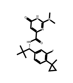 CN(C)c1nc(C(=O)N[C@H](c2ccc(C3(C)CC3)c(F)c2)C(C)(C)C)cc(=O)[nH]1